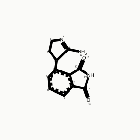 NC1=NCCC1c1cccc2c1C(=O)NC2=O